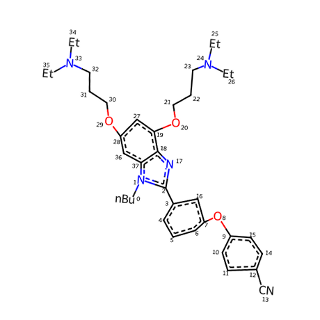 CCCCn1c(-c2cccc(Oc3ccc(C#N)cc3)c2)nc2c(OCCCN(CC)CC)cc(OCCCN(CC)CC)cc21